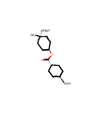 CCCCCCC[C@]1(C#N)CC[C@@H](OC(=O)[C@H]2CC[C@H](CCCCCC)CC2)CC1